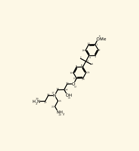 COc1ccc(C(C)(C)c2ccc(OCC(O)CN(CCN)CCN)cc2)cc1